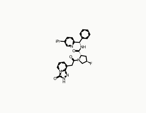 CC(C)c1ccc([C@@H](NC(=O)[C@@H]2C[C@@H](F)CN2C(=O)Cc2cccn3c(=O)[nH]nc23)c2ccccc2)nc1